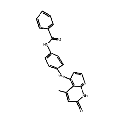 Cc1cc(=O)[nH]c2nccc(Nc3ccc(NC(=O)c4ccccc4)cc3)c12